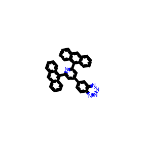 c1ccc2c(-c3cc(-c4ccc5nnnnc5c4)cc(-c4c5ccccc5cc5ccccc45)n3)c3ccccc3cc2c1